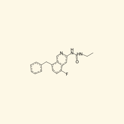 CCNC(=O)Nc1cc2c(F)ccc(Cc3ccccc3)c2cn1